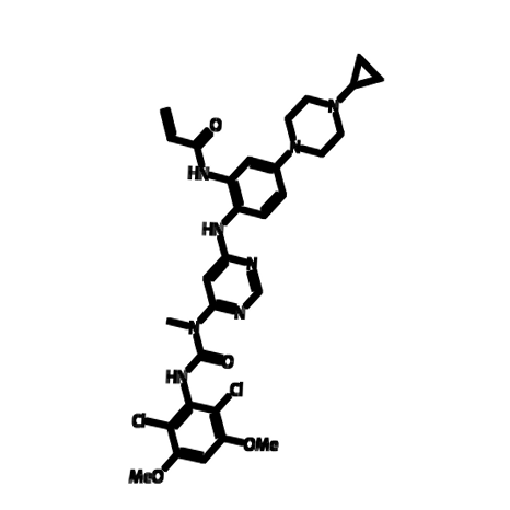 C=CC(=O)Nc1cc(N2CCN(C3CC3)CC2)ccc1Nc1cc(N(C)C(=O)Nc2c(Cl)c(OC)cc(OC)c2Cl)ncn1